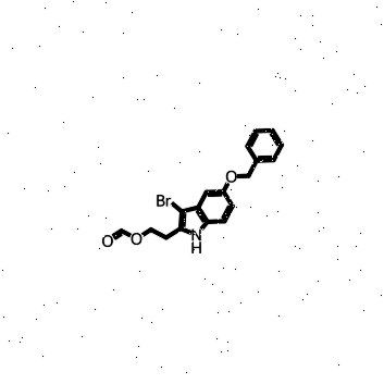 O=COCCc1[nH]c2ccc(OCc3ccccc3)cc2c1Br